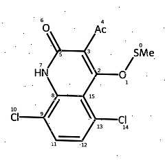 CSOc1c(C(C)=O)c(=O)[nH]c2c(Cl)ccc(Cl)c12